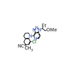 CCC(COC)n1nnc2c(N3CCCC4=C3C(Cl)=CC(C)(C#N)C4)nccc21